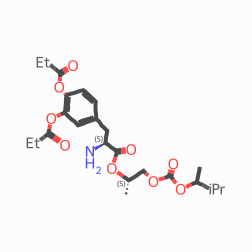 CCC(=O)Oc1ccc(C[C@H](N)C(=O)O[C@@H](C)COC(=O)OC(C)C(C)C)cc1OC(=O)CC